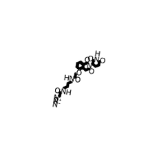 [N-]=[N+]=NCC(=O)NCCCCNC(=O)COc1cccc2c1CC(=O)N(C1CCC(=O)NC1=O)C2=O